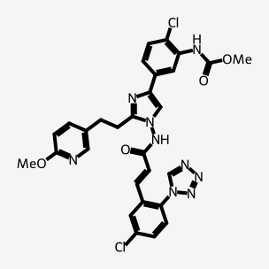 COC(=O)Nc1cc(-c2cn(NC(=O)C=Cc3cc(Cl)ccc3-n3cnnn3)c(CCc3ccc(OC)nc3)n2)ccc1Cl